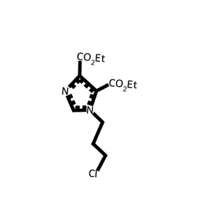 CCOC(=O)c1ncn(CCCCl)c1C(=O)OCC